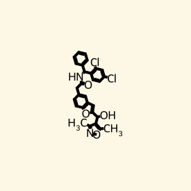 Cc1noc(C)c1C(O)c1cc2cc(CC(=O)NC(c3ccccc3)c3ccc(Cl)cc3Cl)ccc2o1